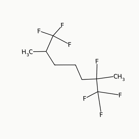 CC(CCCC(C)(F)C(F)(F)F)C(F)(F)F